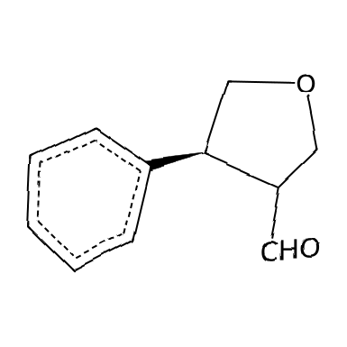 O=CC1COC[C@@H]1c1ccccc1